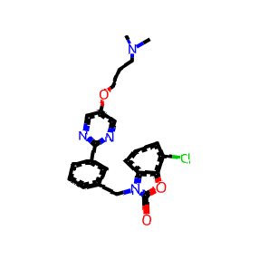 CN(C)CCCOc1cnc(-c2cccc(Cn3c(=O)oc4c(Cl)cccc43)c2)nc1